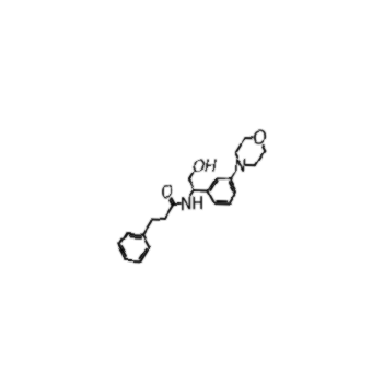 O=C(CCc1ccccc1)N[C@@H](CO)c1cccc(N2CCOCC2)c1